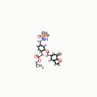 CCOC(=O)Cc1ccc(CNS(C)(=O)=O)cc1OCc1cc(Br)c2occc2c1